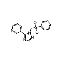 O=S(=O)(Cn1ncnc1-c1cccnc1)c1ccccc1